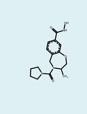 CC1COc2cc(C(=O)NO)ccc2CN1C(=O)N1CCCC1